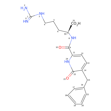 N=C(N)NCCC[C@H](NC(=O)c1ccc(Cc2ccccc2)c(=O)[nH]1)C(=O)O